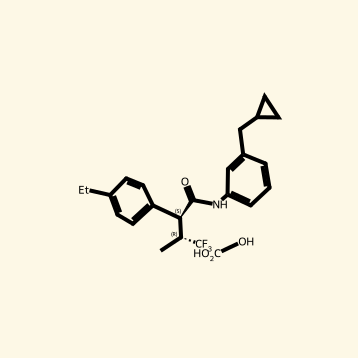 CCc1ccc([C@@H](C(=O)Nc2cccc(CC3CC3)c2)[C@@H](C)C(F)(F)F)cc1.O=C(O)O